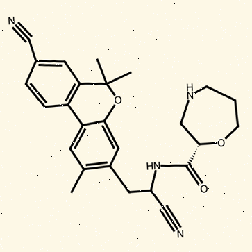 Cc1cc2c(cc1CC(C#N)NC(=O)[C@@H]1CNCCCO1)OC(C)(C)c1cc(C#N)ccc1-2